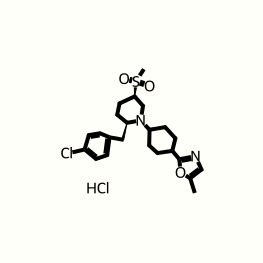 Cc1cnc(C2CCC(N3C[C@H](S(C)(=O)=O)CC[C@@H]3Cc3ccc(Cl)cc3)CC2)o1.Cl